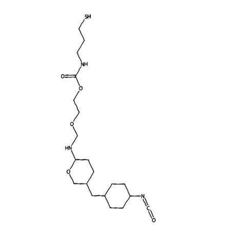 O=C=NC1CCC(CC2CCC(NCOCCOC(=O)NCCCS)OC2)CC1